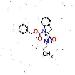 CCCNC(=O)[C@@H]1Cc2ccccc2N1C(=O)OCc1ccccc1